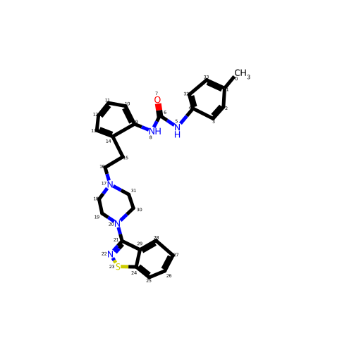 Cc1ccc(NC(=O)Nc2ccccc2CCN2CCN(c3nsc4ccccc34)CC2)cc1